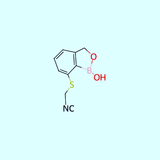 [C-]#[N+]CSc1cccc2c1B(O)OC2